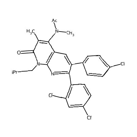 CC(=O)N(C)c1c(C)c(=O)n(CC(C)C)c2nc(-c3ccc(Cl)cc3Cl)c(-c3ccc(Cl)cc3)cc12